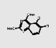 COc1nc(OC)c2c(Cl)c(Cl)ccc2n1